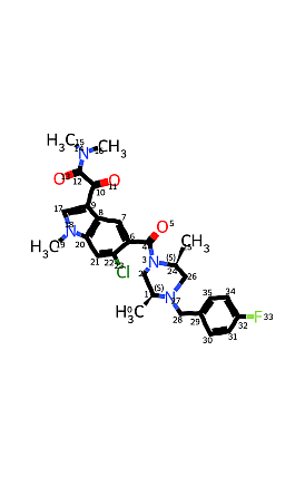 C[C@H]1CN(C(=O)c2cc3c(C(=O)C(=O)N(C)C)cn(C)c3cc2Cl)[C@@H](C)CN1Cc1ccc(F)cc1